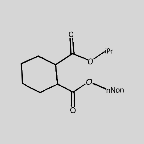 CCCCCCCCCOC(=O)C1CCCCC1C(=O)OC(C)C